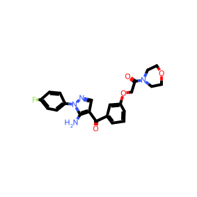 Nc1c(C(=O)c2cccc(OCC(=O)N3CCOCC3)c2)cnn1-c1ccc(F)cc1